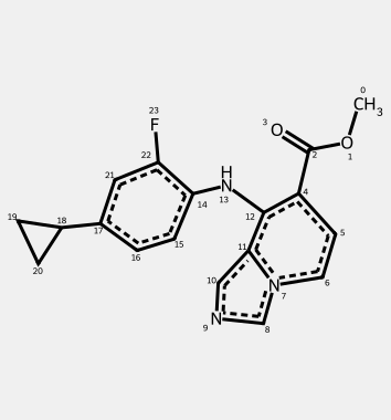 COC(=O)c1ccn2cncc2c1Nc1ccc(C2CC2)cc1F